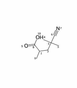 CC(CC(C)(C)C#N)C(=O)O